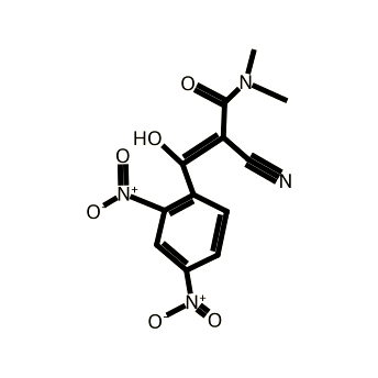 CN(C)C(=O)/C(C#N)=C(\O)c1ccc([N+](=O)[O-])cc1[N+](=O)[O-]